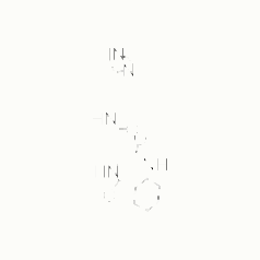 O=C(CC1NC(=O)c2ccccc2NC1=O)NCCc1c[nH]cn1